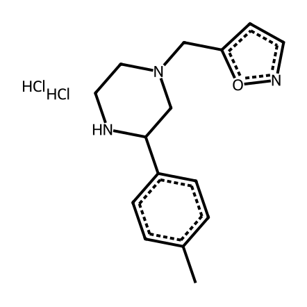 Cc1ccc(C2CN(Cc3ccno3)CCN2)cc1.Cl.Cl